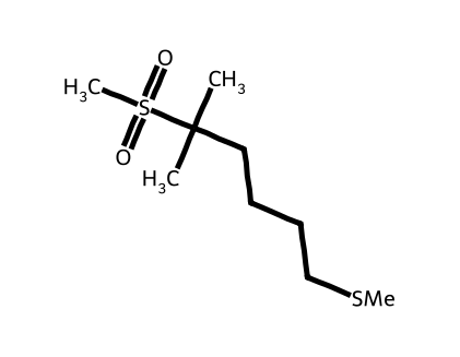 CSCCCCC(C)(C)S(C)(=O)=O